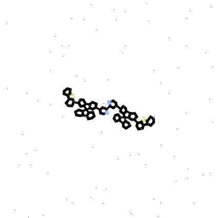 c1ccc2c(c1)-c1ccccc1C21c2cc(-c3ccnc(-c4cc(-c5ccc6c(c5)C5(c7ccccc7-c7ccccc75)c5cc(-c7cccc8c7sc7ccccc78)ccc5-6)ccn4)c3)ccc2-c2ccc(-c3cccc4c3sc3ccccc34)cc21